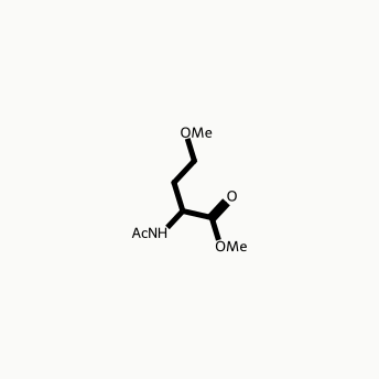 COCCC(NC(C)=O)C(=O)OC